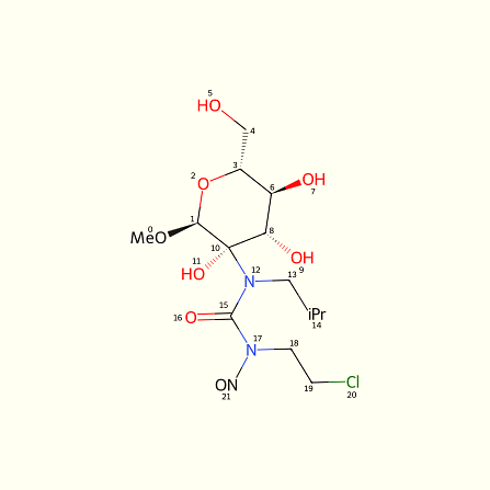 CO[C@H]1O[C@H](CO)[C@@H](O)[C@H](O)[C@@]1(O)N(CC(C)C)C(=O)N(CCCl)N=O